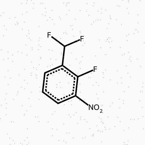 O=[N+]([O-])c1cccc(C(F)F)c1F